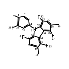 Cc1ccc(-n2c3c(F)cc(C)c(F)c3c3c(F)c(C)cc(F)c32)cc1F